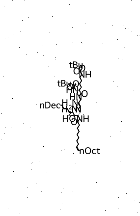 CCCCCCCC/C=C\CCCCCCCC(=O)N[C@@H](CN(N)/C=C(\N)CNC(=O)C(CCCCNC(=O)OC(C)(C)C)NC(=O)OC(C)(C)C)[C@H](O)/C=C/CCCCCCCCCCCCC